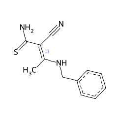 C/C(NCc1ccccc1)=C(/C#N)C(N)=S